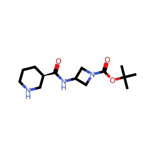 CC(C)(C)OC(=O)N1CC(NC(=O)[C@@H]2CCCNC2)C1